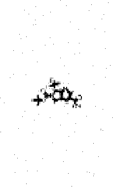 CC(C)(C)OC(=O)N1Cc2cc(C(=O)O)cnc2[C@@H]1C(F)(F)F